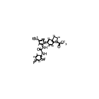 CC(C)(C)c1cc(NC(=O)Nc2ccc(F)cc2F)n(-c2ccc3c(c2)CCN3C(=O)C(F)(F)F)n1